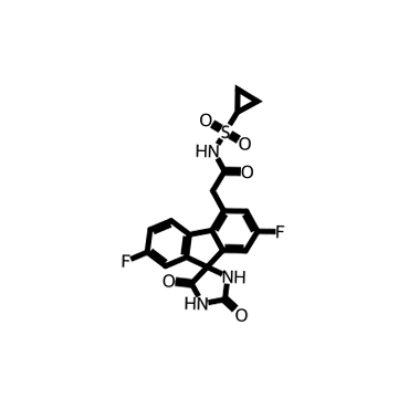 O=C(Cc1cc(F)cc2c1-c1ccc(F)cc1C21NC(=O)NC1=O)NS(=O)(=O)C1CC1